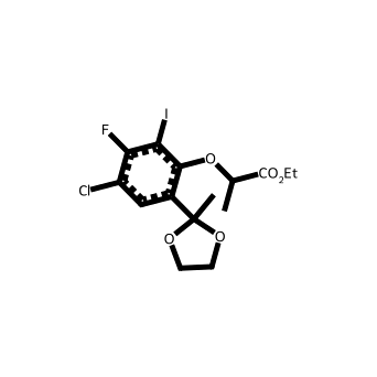 CCOC(=O)C(C)Oc1c(C2(C)OCCO2)cc(Cl)c(F)c1I